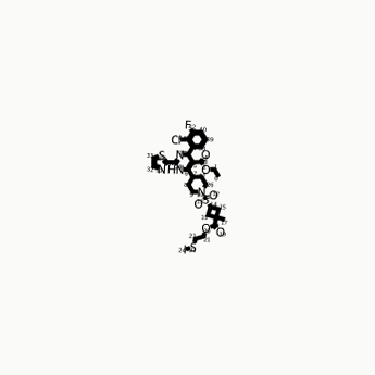 CCOC(=O)C1=C(C2CCN(S(=O)(=O)C3CC(C)(C(=O)OCCSI)C3)CC2)NC(c2nccs2)=NC1c1cccc(F)c1Cl